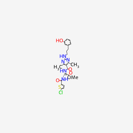 COC(=O)[C@H](CNC(=O)c1ccc(Cl)s1)NC(=O)c1c(C)nc(NCCCc2cccc(O)c2)nc1C